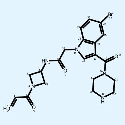 C=CC(=O)N1CC(NC(=O)Cn2cc(C(=O)N3CCNCC3)c3cc(Br)ccc32)C1